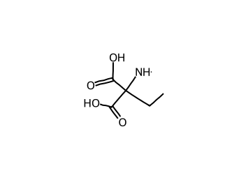 CCC([NH])(C(=O)O)C(=O)O